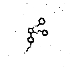 O=CCSc1ccc(C2=CCC(OCc3ccccc3)C2OCc2ccccc2)cc1